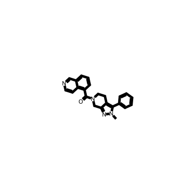 Cn1nc2c(c1-c1ccccc1)CCN(C(=O)c1cccc3cnccc13)C2